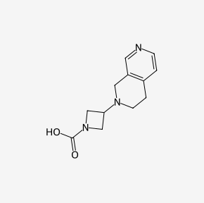 O=C(O)N1CC(N2CCc3ccncc3C2)C1